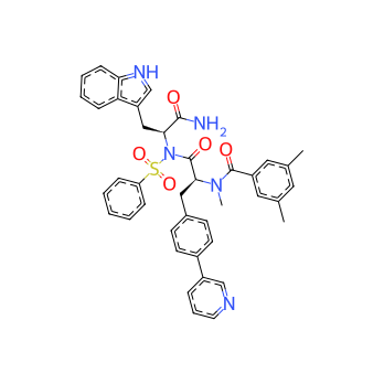 Cc1cc(C)cc(C(=O)N(C)[C@@H](Cc2ccc(-c3cccnc3)cc2)C(=O)N([C@@H](Cc2c[nH]c3ccccc23)C(N)=O)S(=O)(=O)c2ccccc2)c1